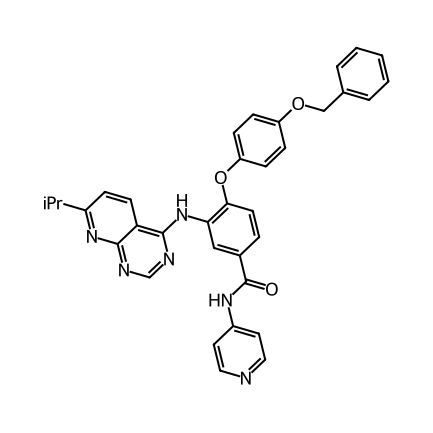 CC(C)c1ccc2c(Nc3cc(C(=O)Nc4ccncc4)ccc3Oc3ccc(OCc4ccccc4)cc3)ncnc2n1